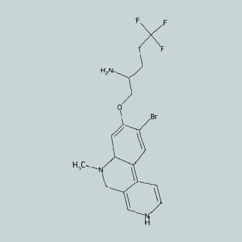 CN1CC2=CNC=CC2=C2C=C(Br)C(OCC(N)CCC(F)(F)F)=CC21